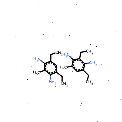 CCc1cc(C)c(N)c(CC)c1N.CCc1cc(CC)c(N)c(C)c1N